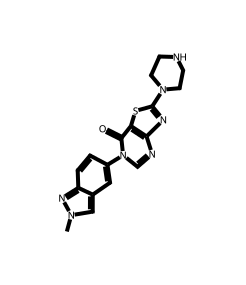 Cn1cc2cc(-n3cnc4nc(N5CCNCC5)sc4c3=O)ccc2n1